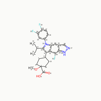 COC1(C(=O)O)CCC(c2c(C(C)C)n(-c3ccc(F)c(F)c3)c3cc4cn[nH]c4c(F)c23)CC1